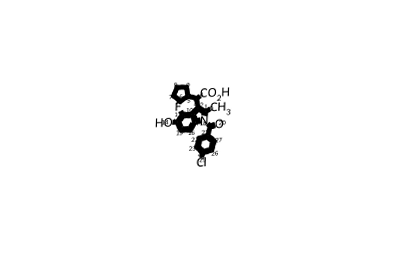 Cc1c(C(C(=O)O)C2CCCC2)c2c(F)c(O)ccc2n1C(=O)c1ccc(Cl)cc1